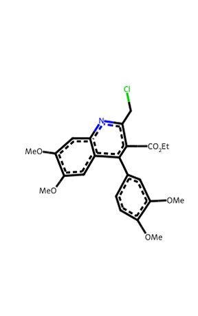 CCOC(=O)c1c(CCl)nc2cc(OC)c(OC)cc2c1-c1ccc(OC)c(OC)c1